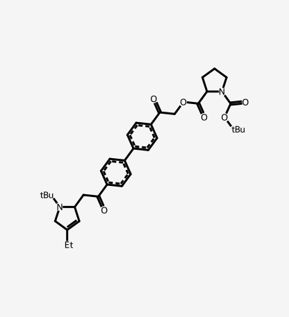 CCC1=CC(CC(=O)c2ccc(-c3ccc(C(=O)COC(=O)C4CCCN4C(=O)OC(C)(C)C)cc3)cc2)N(C(C)(C)C)C1